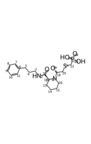 O=C(NCCCc1ccccc1)[C@@H]1CCCCN1C(=O)CSCP(=O)(O)O